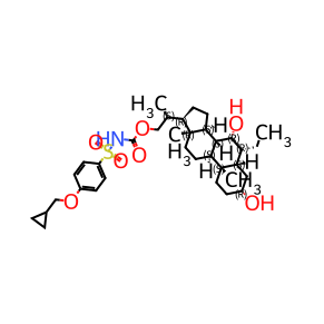 CC[C@H]1[C@@H](O)[C@@H]2[C@H](CC[C@]3(C)[C@@H]([C@H](C)COC(=O)NS(=O)(=O)c4ccc(OCC5CC5)cc4)CC[C@@H]23)[C@@]2(C)CC[C@@H](O)C[C@@H]12